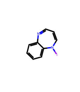 IN1C=CC=Nc2ccccc21